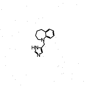 c1ccc2c(c1)CCCCN2Cc1cnc[nH]1